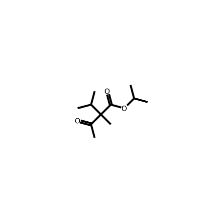 CC(=O)C(C)(C(=O)OC(C)C)C(C)C